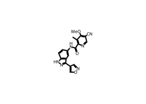 COc1c(C#N)cnc(C(=O)Nc2ccc3[nH]nc(-c4cnoc4)c3c2)c1C